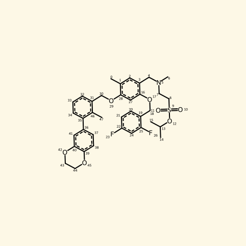 Cc1cc(CN(C)CCS(=O)(=O)OC(C)C)c(OCc2ccc(F)cc2F)cc1OCc1cccc(-c2ccc3c(c2)OCCO3)c1C